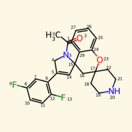 CC(=O)N1CC(c2cc(F)ccc2F)=CC12CC1(CCNCC1)Oc1ccccc12